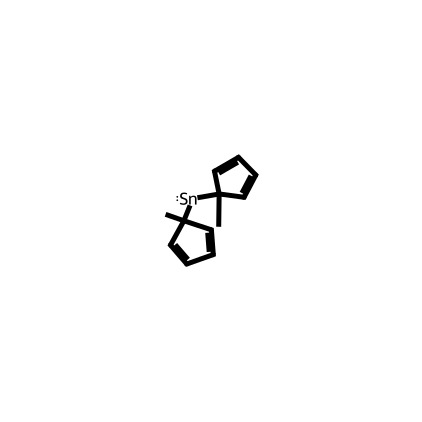 C[C]1([Sn][C]2(C)C=CC=C2)C=CC=C1